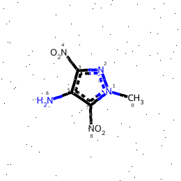 Cn1nc([N+](=O)[O-])c(N)c1[N+](=O)[O-]